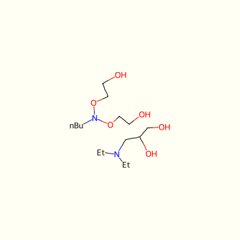 CCCCN(OCCO)OCCO.CCN(CC)CC(O)CO